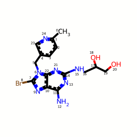 Cc1ccc(Cn2c(Br)nc3c(N)nc(NCC(O)CO)nc32)cn1